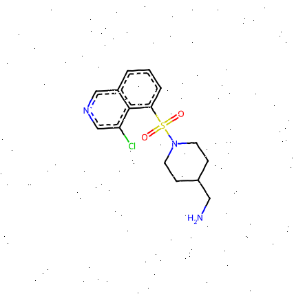 NCC1CCN(S(=O)(=O)c2cccc3cncc(Cl)c23)CC1